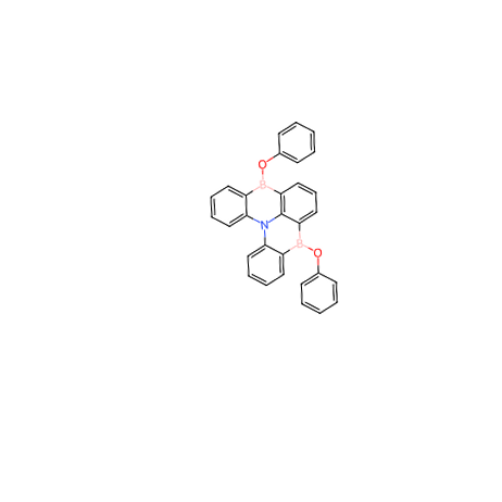 c1ccc(OB2c3ccccc3N3c4ccccc4B(Oc4ccccc4)c4cccc2c43)cc1